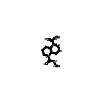 CC(C)(C)OC(=O)N1CCCC2C1CCCN2C(=O)C(C)(C)C